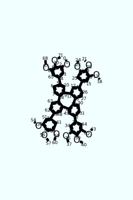 COc1cc(-c2ccc3c(c2)-c2cc(-c4cc(OC)c(OC)c(OC)c4)ccc2-c2ccc(-c4cc(OC)c(OC)c(OC)c4)cc2-c2cc(-c4cc(OC)c(OC)c(OC)c4)ccc2-3)cc(OC)c1OC